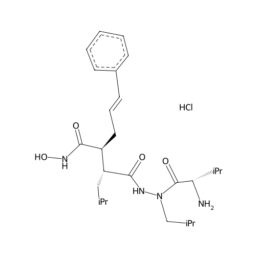 CC(C)C[C@@H](C(=O)NN(CC(C)C)C(=O)[C@@H](N)C(C)C)[C@H](CC=Cc1ccccc1)C(=O)NO.Cl